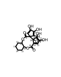 NC1=C(O)C(O)=CC12C(=O)OC1CCCCC1OC(=O)C1=CC(O)=C(O)C12O